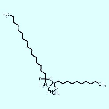 CCCCCCCCCCCCCCCCC(N)(F)O[Si](CCCCCCCCCC)(OC)OC